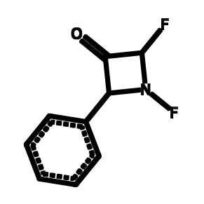 O=C1C(F)N(F)C1c1ccccc1